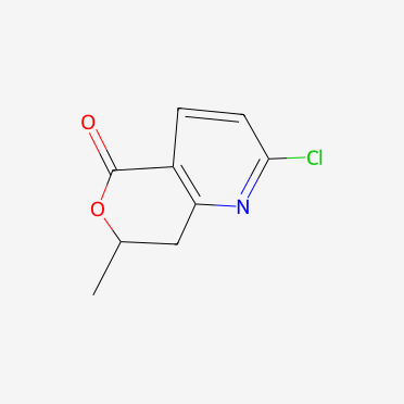 CC1Cc2nc(Cl)ccc2C(=O)O1